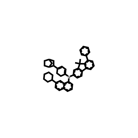 CC1(C)c2cc(N(C3=CC=C(C4CC5CCC4C5)CC3)c3cccc4ccc(C5CCCCC5)cc34)ccc2-c2cccc(-c3ccccc3)c21